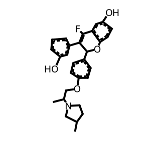 CC1CCN(C(C)COc2ccc(C3Oc4ccc(O)cc4C(F)=C3c3cccc(O)c3)cc2)C1